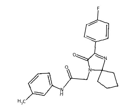 Cc1cccc(NC(=O)CN2C(=O)C(c3ccc(F)cc3)=NC23CCCC3)c1